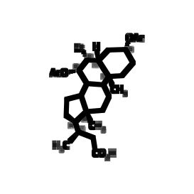 CC[C@H]1[C@@H](OC(C)=O)C2C3CC[C@H]([C@H](C)CC(=O)O)[C@@]3(C)CCC2[C@@]2(C)CC[C@@H](OC(C)=O)C[C@@H]12